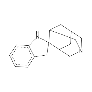 c1ccc2c(c1)CC1(N2)C2CC3CC1CN(C3)C2